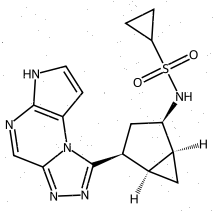 O=S(=O)(N[C@@H]1C[C@H](c2nnc3cnc4[nH]ccc4n23)[C@@H]2C[C@@H]21)C1CC1